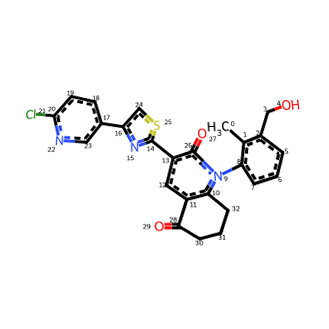 Cc1c(CO)cccc1-n1c2c(cc(-c3nc(-c4ccc(Cl)nc4)cs3)c1=O)C(=O)CCC2